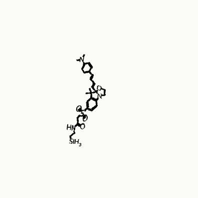 CN(C)c1ccc(/C=C/C=C/C23OCCN2c2ccc(S(=O)(=O)CC(=O)NCC[SiH3])cc2C3(C)C)cc1